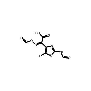 O=CNc1nc(C(=NOC=O)C(=O)O)c(F)s1